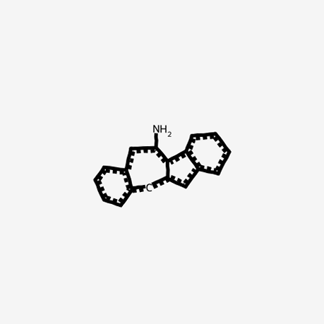 Nc1cc2ccccc2cc2cc3ccccc3c1-2